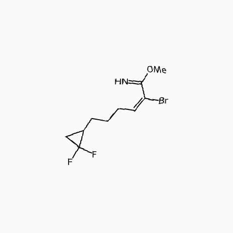 COC(=N)/C(Br)=C\CCCC1CC1(F)F